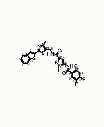 Cc1nc(-c2cc3ccccc3s2)sc1CNC(=O)c1cc(NC(=O)c2cc(F)c(F)cc2Cl)[nH]n1